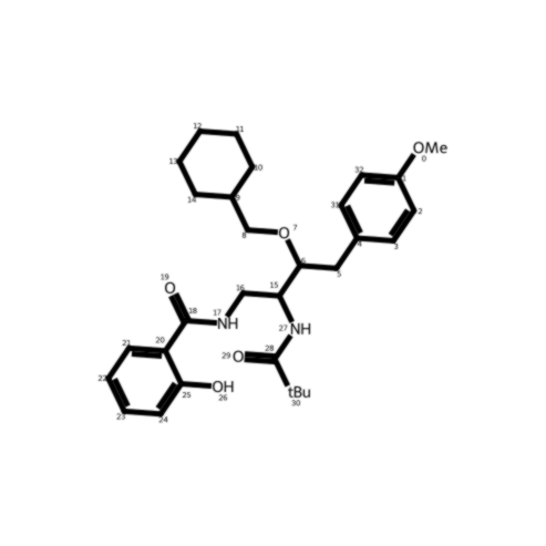 COc1ccc(CC(OCC2CCCCC2)C(CNC(=O)c2ccccc2O)NC(=O)C(C)(C)C)cc1